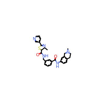 CC1N=C(c2cccnc2)SC1C(=O)NCc1cccc(C(=O)Nc2ccc3c(c2)CN(C)CC3)c1